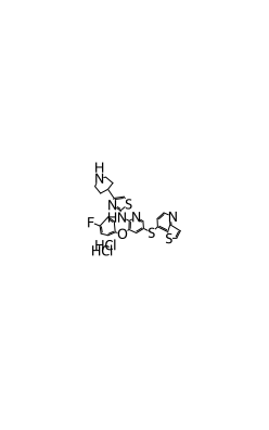 Cl.Cl.Fc1ccc(Oc2cc(Sc3ccnc4ccsc34)cnc2Nc2nc(C3CCNCC3)cs2)cc1